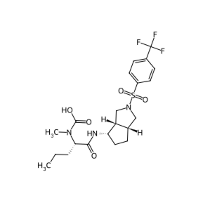 CCC[C@@H](C(=O)N[C@H]1CC[C@H]2CN(S(=O)(=O)c3ccc(C(F)(F)F)cc3)C[C@H]21)N(C)C(=O)O